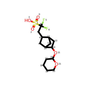 O=S(=O)(O)C(F)(F)CC1CC2CC1CC2OC1CCCCO1